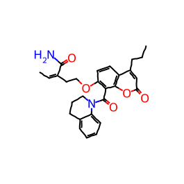 CC=C(CCOc1ccc2c(CCC)cc(=O)oc2c1C(=O)N1CCCc2ccccc21)C(N)=O